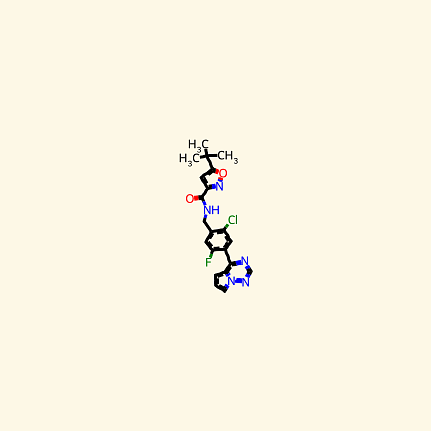 CC(C)(C)c1cc(C(=O)NCc2cc(F)c(-c3ncnn4cccc34)cc2Cl)no1